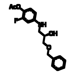 CC(=O)Oc1ccc(NC[C@@H](O)COCc2ccccc2)cc1F